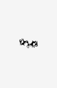 [O-][N+](=Nc1cnon1)c1cnon1